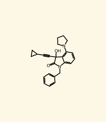 O=C1N(Cc2ccccc2)c2cccc(N3CCCC3)c2C1(O)C#CC1CC1